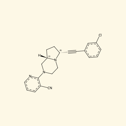 N#Cc1cccnc1N1CCN2[C@@H](CC[C@@H]2C#Cc2cccc(Cl)c2)C1